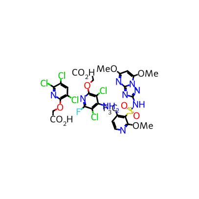 COc1cc(OC)n2nc(NS(=O)(=O)c3c(C(F)(F)F)ccnc3OC)nc2n1.Nc1c(Cl)c(F)nc(OCC(=O)O)c1Cl.O=C(O)COc1nc(Cl)c(Cl)cc1Cl